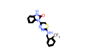 O=c1[nH]c2ccccc2n1C1=NN=C(NCc2ccccc2C(F)(F)F)SC1